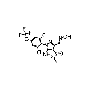 CC[S+]([O-])c1c(C=NO)nn(-c2c(Cl)cc(OC(F)(F)F)cc2Cl)c1N